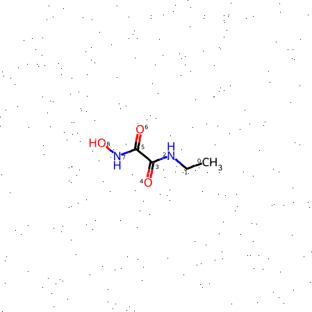 CCNC(=O)C(=O)NO